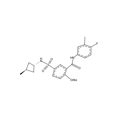 COc1ccc(S(=O)(=O)N[C@H]2C[C@H](C)C2)cc1C(=O)Nc1ccc(F)c(C)c1